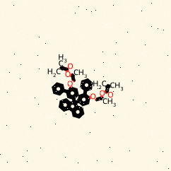 C=C(C)C(=O)OC(C)COc1ccc(C2(c3ccc(OCC(C)OC(=O)C(=C)C)c(-c4ccccc4)c3)c3ccccc3-c3ccccc32)cc1-c1ccccc1